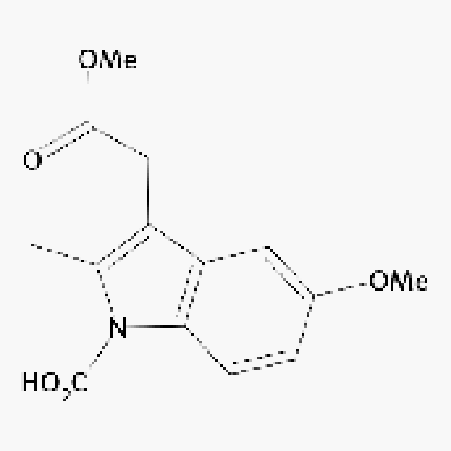 COC(=O)Cc1c(C)n(C(=O)O)c2ccc(OC)cc12